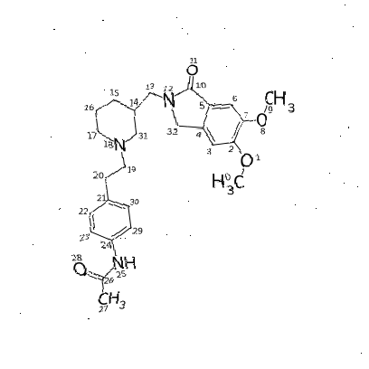 COc1cc2c(cc1OC)C(=O)N(CC1CCCN(CCc3ccc(NC(C)=O)cc3)C1)C2